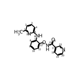 Cc1cccc(Nc2ccccc2ONC(=O)c2cccnc2)n1